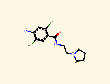 Nc1cc(F)c(C(=O)NCCN2CCCC2)cc1F